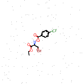 CCOC(=O)C(CBr)=NOC(=O)c1ccc(Cl)cc1